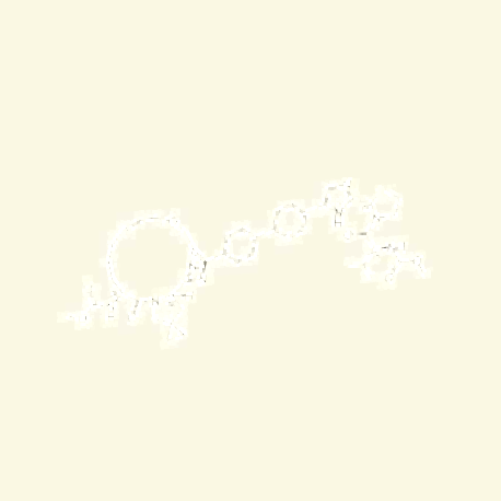 COC(=O)N[C@H]1CCCC=CCOCc2[nH]c(nc2-c2ccc(-c3ccc(-c4cnc([C@@H]5CCCN5C(=O)[C@@H](NC(=O)OC)C(C)C)[nH]4)cc3)cc2)[C@@H]2CC3(CC3)CN2C1=O